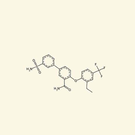 CCc1cc(C(F)(F)F)ccc1Oc1ccc(-c2cccc(S(N)(=O)=O)c2)cc1C(N)=O